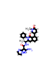 CC(NC(=O)c1c(N)nn2cccnc12)c1cc2cccc(-c3ccc(=O)n(C)c3)c2c(=O)n1-c1ccccc1